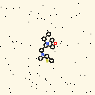 c1ccc(-c2cccc(-c3cc(-c4cccc(-n5c6ccccc6c6c7sc8ccccc8c7ccc65)c4)cc(-c4cccc5oc6ccccc6c45)n3)c2)cc1